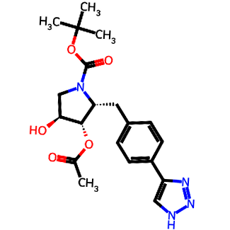 CC(=O)O[C@H]1[C@@H](Cc2ccc(-c3c[nH]nn3)cc2)N(C(=O)OC(C)(C)C)C[C@@H]1O